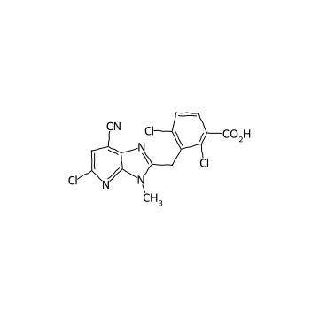 Cn1c(Cc2c(Cl)ccc(C(=O)O)c2Cl)nc2c(C#N)cc(Cl)nc21